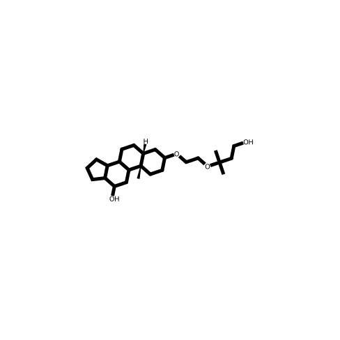 CC(C)(CCO)OCCOC1CC[C@]2(C)C3CC(O)C4CCCC4C3CC[C@@H]2C1